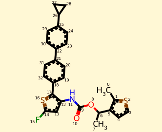 Cc1sccc1C(C)OC(=O)Nc1cc(F)sc1-c1ccc(-c2ccc(C3CC3)cc2)cc1